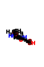 CC(C)(C)OC(=O)N[C@@H]1C[C@H]1c1ccc(NC(=O)CCCCCCC(=O)O)cc1